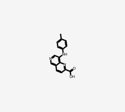 Cc1ccc(Nc2cncc3ccc(C(=O)O)nc23)cc1